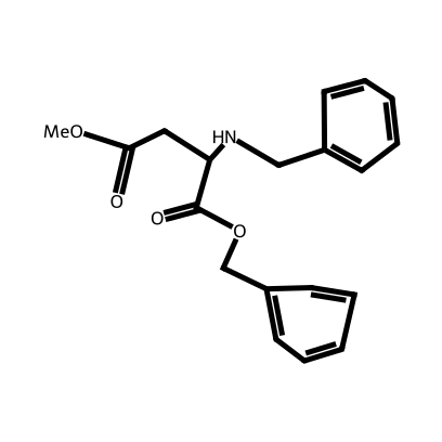 COC(=O)CC(NCc1ccccc1)C(=O)OCc1ccccc1